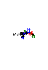 CNc1ccc2c(=O)n(-c3ccc(NC(=O)NS(=O)(=O)c4ccc(Cl)s4)cc3F)cc(-c3ccncc3)c2c1